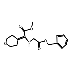 COC(=O)C(NCC(=O)OCc1ccccc1)=C1CCOCC1